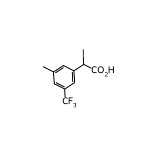 Cc1cc(C(I)C(=O)O)cc(C(F)(F)F)c1